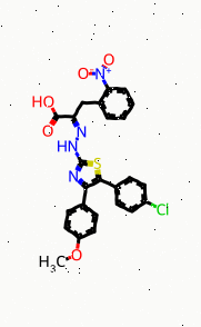 COc1ccc(-c2nc(NN=C(Cc3ccccc3[N+](=O)[O-])C(=O)O)sc2-c2ccc(Cl)cc2)cc1